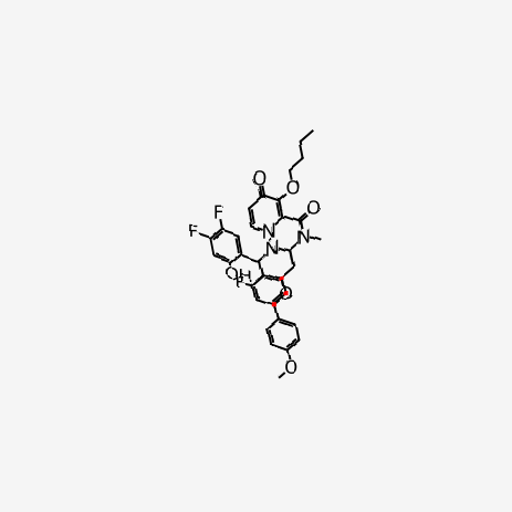 CCCCOc1c2n(ccc1=O)N(C(c1cc(F)c(F)cc1O)c1ccccc1F)C(CCOCc1ccc(OC)cc1)N(C)C2=O